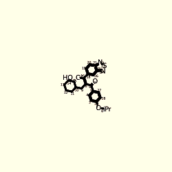 CC(C)Oc1ccc(C(=O)C(CC2CCCCC2)=C(C(=O)O)c2ccc3nsnc3c2)cc1